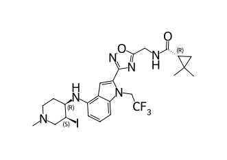 CN1CC[C@@H](Nc2cccc3c2cc(-c2noc(CNC(=O)[C@@H]4CC4(C)C)n2)n3CC(F)(F)F)[C@@H](I)C1